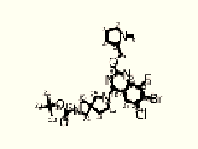 CN1CCCC1COc1nc(N2CCC3(CN(C(=O)OC(C)(C)C)C3)C2)c2cc(Cl)c(Br)c(F)c2n1